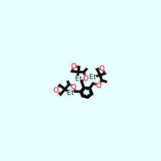 CCC1(C(C)OCc2cccc(COC(C)C3(CC)COC3)c2COC(C)C2(CC)COC2)COC1